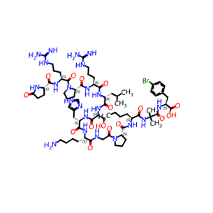 CCCC[C@H](NC(=O)[C@@H]1CCCN1C(=O)CNC(=O)[C@H](CCCCN)NC(=O)[C@H](Cc1c[nH]cn1)NC(=O)[C@H](CO)NC(=O)[C@@H](CC(C)C)NC(=O)[C@H](CCCNC(=N)N)NC(=O)[C@@H]1CCCN1C(=O)[C@H](CCCNC(=N)N)NC(=O)[C@@H]1CCC(=O)N1)C(=O)NC(C)(C)C(=O)N[C@@H](Cc1ccc(Br)cc1)C(=O)O